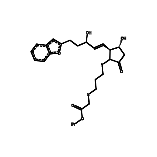 CC(C)OC(=O)CSCCCSC1C(=O)C[C@@H](O)[C@@H]1C=CC(O)CCc1cc2ccccc2o1